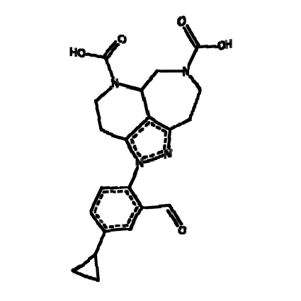 O=Cc1cc(C2CC2)ccc1-n1nc2c3c1CCN(C(=O)O)C3CN(C(=O)O)CC2